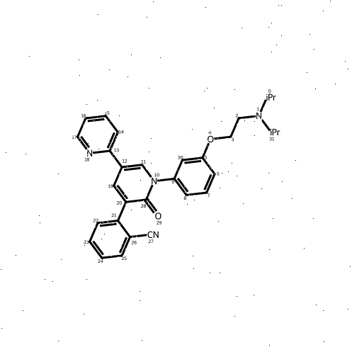 CC(C)N(CCOc1cccc(-n2cc(-c3ccccn3)cc(-c3ccccc3C#N)c2=O)c1)C(C)C